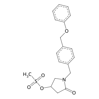 CS(=O)(=O)OC1CC(=O)N(Cc2ccc(COc3ccccc3)cc2)C1